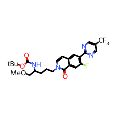 COCC(CCCn1ccc2cc(-c3ncc(C(F)(F)F)cn3)c(F)cc2c1=O)NC(=O)OC(C)(C)C